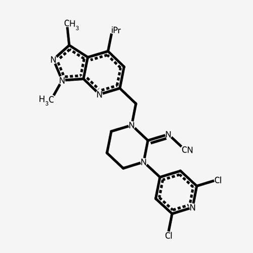 Cc1nn(C)c2nc(CN3CCCN(c4cc(Cl)nc(Cl)c4)/C3=N\C#N)cc(C(C)C)c12